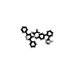 CC(C)c1nc2c(-c3ccccc3)nnc(-c3ccccc3)c2n1Cc1ccc(-c2ccccc2-c2nnn[nH]2)cc1